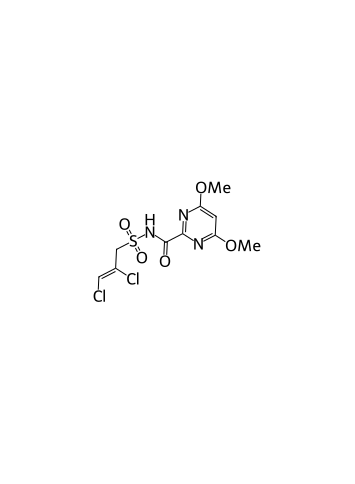 COc1cc(OC)nc(C(=O)NS(=O)(=O)CC(Cl)=CCl)n1